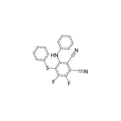 N#Cc1c(F)c(F)c(Sc2ccccc2)c(Nc2ccccc2)c1C#N